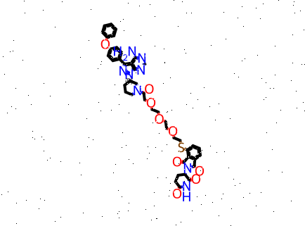 Nc1ncnc2c1c(-c1ccc(Oc3ccccc3)cc1)nn2[C@@H]1CCCN(C(=O)COCCOCCOCCSc2cccc3c2C(=O)N(C2CCC(=O)NC2=O)C3=O)C1